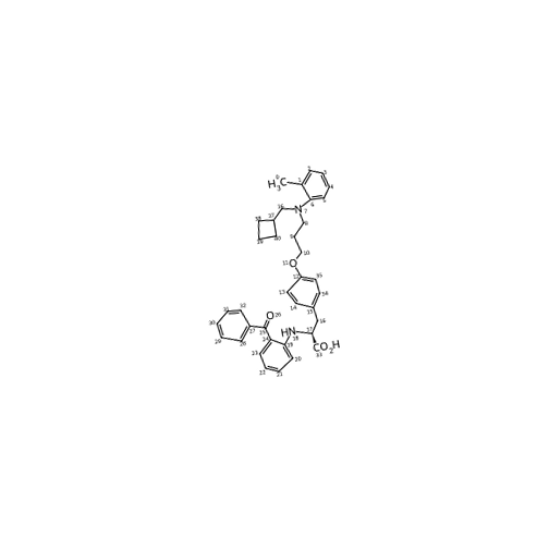 Cc1ccccc1N(CCCOc1ccc(C[C@H](Nc2ccccc2C(=O)c2ccccc2)C(=O)O)cc1)CC1CCC1